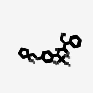 CC1(COc2ccc([C@@H](NC(=O)[C@@H](CO)c3ccccc3)C(C)(C)C)cc2)CCCC1